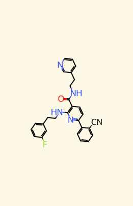 N#Cc1ccccc1-c1ccc(C(=O)NCCc2cccnc2)c(NCCc2cccc(F)c2)n1